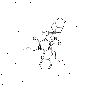 CCCn1c(=O)c2[nH]c(C3C4CCC3CN(CC(=O)OCc3ccccc3)C4)nc2n(CCC)c1=O